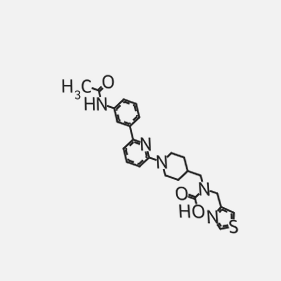 CC(=O)Nc1cccc(-c2cccc(N3CCC(CN(Cc4cscn4)C(=O)O)CC3)n2)c1